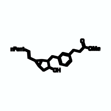 CCCCC/C=C/C1C2CC(O)C(Cc3cccc(CCC(=O)OC)c3)C12